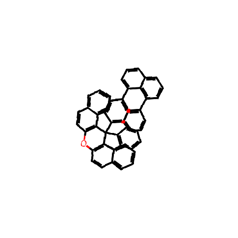 c1ccc(-c2cccc3cccc(-c4ccc(C5(c6ccccc6)c6c(ccc7ccccc67)Oc6ccc7ccccc7c65)cc4)c23)cc1